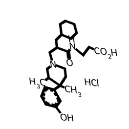 CC1CN(CC(CC2CCCCC2)C(=O)NCCC(=O)O)CCC1(C)c1cccc(O)c1.Cl